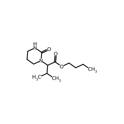 CCCCOC(=O)C(C(C)C)N1CCCNC1=O